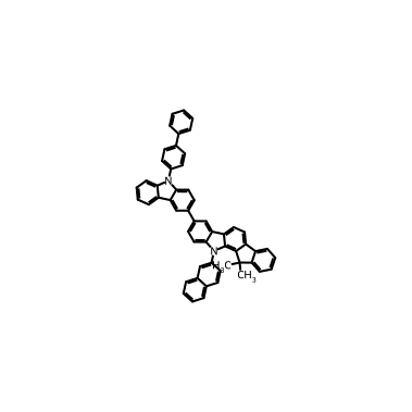 CC1(C)c2ccccc2-c2ccc3c4cc(-c5ccc6c(c5)c5ccccc5n6-c5ccc(-c6ccccc6)cc5)ccc4n(-c4ccc5ccccc5c4)c3c21